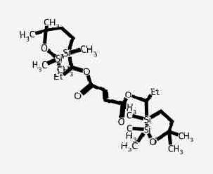 CCC(OC(=O)C=CC(=O)OC(CC)[Si]1(C)CCC(C)(C)O[Si]1(C)C)[Si]1(C)CCC(C)(C)O[Si]1(C)C